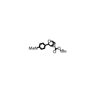 CNc1ccc(C2OC3CC2N(C(=O)OC(C)(C)C)C3)cc1